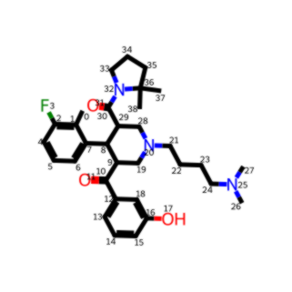 Cc1c(F)cccc1C1C(C(=O)c2cccc(O)c2)CN(CCCCN(C)C)CC1C(=O)N1CCCC1(C)C